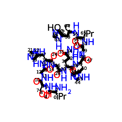 CC(C)[C@H](N)C(=O)N[C@@H](CO)C(=O)NCC(=O)N[C@@H](Cc1cnc[nH]1)C(=O)NCC(=O)N[C@@H](CCC(N)=O)C(=O)N[C@@H](Cc1cnc[nH]1)C(=O)NCC(=O)N[C@H](C(=O)N[C@@H](Cc1cnc[nH]1)C(=O)O)C(C)C